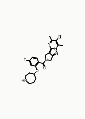 Cc1nc2c3c(nn2c(C)c1Cl)CN(C(=O)c1ccc(F)cc1O[C@H]1CCCNCC1)C3